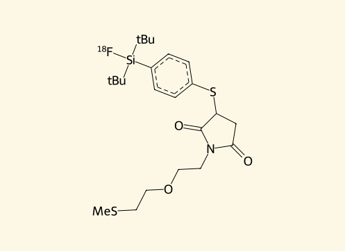 CSCCOCCN1C(=O)CC(Sc2ccc([Si]([18F])(C(C)(C)C)C(C)(C)C)cc2)C1=O